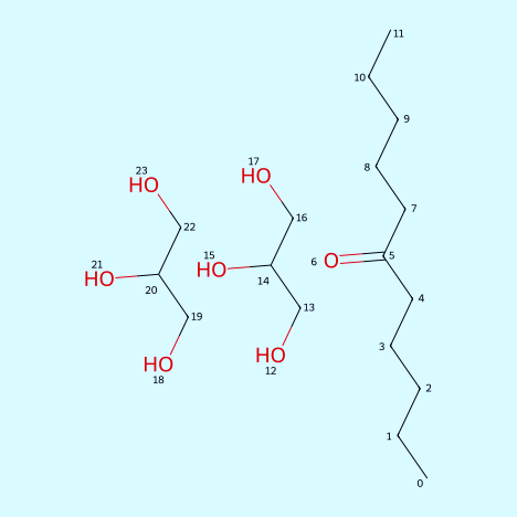 CCCCCC(=O)CCCCC.OCC(O)CO.OCC(O)CO